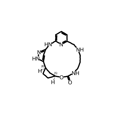 O=C1NCCCNCc2cccc(n2)Nc2cc([nH]n2)[C@@H]2CC[C@@H](C2)O1